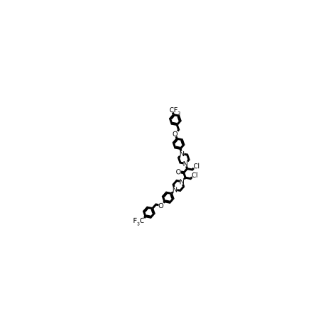 O=C(C(CCl)N1CCN(c2ccc(OCc3ccc(C(F)(F)F)cc3)cc2)CC1)C(CCl)N1CCN(c2ccc(OCc3ccc(C(F)(F)F)cc3)cc2)CC1